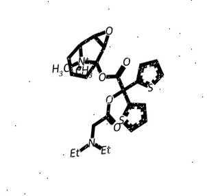 CCN(CC)CC(=O)OC(C(=O)OC12CCCC(C3OC31)[N+]2(C)C)(c1cccs1)c1cccs1